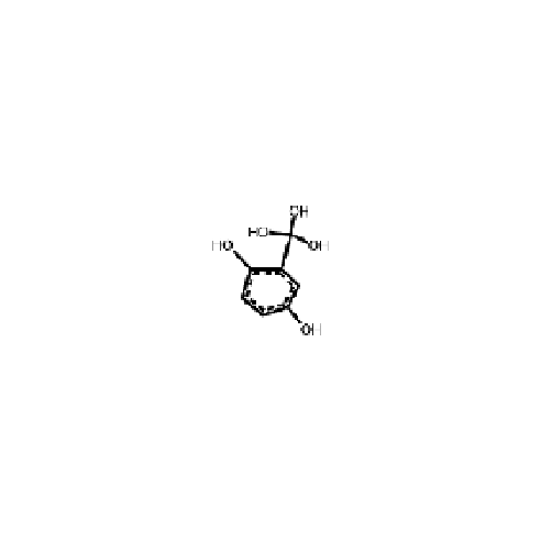 Oc1ccc(O)c(C(O)(O)O)c1